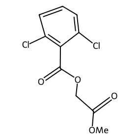 COC(=O)COC(=O)c1c(Cl)cccc1Cl